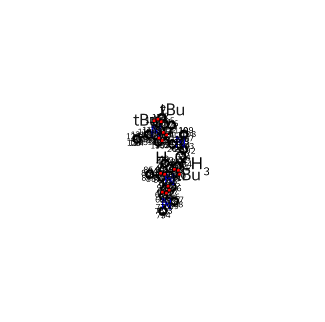 CC(C)(C)c1cc(-c2cccc3cccc(-c4ccccc4N(c4ccc(-c5ccc6c7cc(CC(C)(C)c8cc(-c9cccc%10cccc(-c%11ccccc%11N(c%11cccc(-c%12cccc%13c%12c%12ccccc%12n%13-c%12ccccc%12)c%11)c%11ccc(-c%12ccccc%12)cc%11-c%11ccccc%11)c9%10)cc(C(C)(C)C)c8)ccc7n(-c7ccccc7)c6c5)cc4)c4ccc(-c5ccccc5)cc4-c4ccccc4)c23)cc(C(C)(C)C)c1